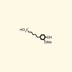 COc1cc(CCCCCC(=O)O)ccc1O